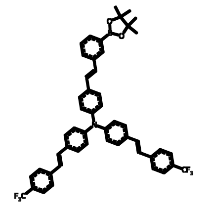 CC1(C)OB(c2cccc(/C=C/c3ccc(N(c4ccc(/C=C/c5ccc(C(F)(F)F)cc5)cc4)c4ccc(/C=C/c5ccc(C(F)(F)F)cc5)cc4)cc3)c2)OC1(C)C